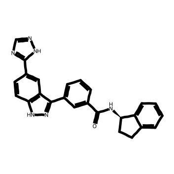 O=C(N[C@@H]1CCc2ccccc21)c1cccc(-c2n[nH]c3ccc(-c4ncn[nH]4)cc23)c1